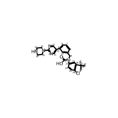 O=C(O)N(Cc1cccc(-c2cnc(N3CCNCC3)nc2)c1)c1ccc(Cl)c(C(F)(F)F)c1